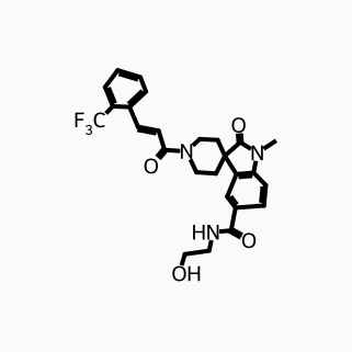 CN1C(=O)C2(CCN(C(=O)C=Cc3ccccc3C(F)(F)F)CC2)c2cc(C(=O)NCCO)ccc21